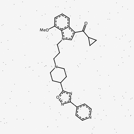 COc1cccc2c(C(=O)C3CC3)cn(CCCN3CCC(c4nc(-c5ccncc5)no4)CC3)c12